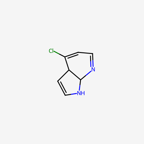 ClC1=CC=NC2NC=CC12